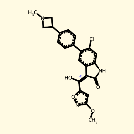 COc1cc(/C(O)=C2\C(=O)Nc3cc(Cl)c(-c4ccc(C5CN(C)C5)cc4)cc32)on1